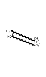 CCCCCCCCCCCCCCC(=O)O.CCCCCCCCCCCCCCCC(C)C